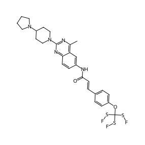 Cc1nc(N2CCC(N3CCCC3)CC2)nc2ccc(NC(=O)C=Cc3ccc(OC(SF)(SF)SF)cc3)cc12